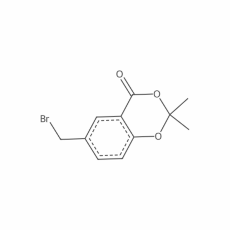 CC1(C)OC(=O)c2cc(CBr)ccc2O1